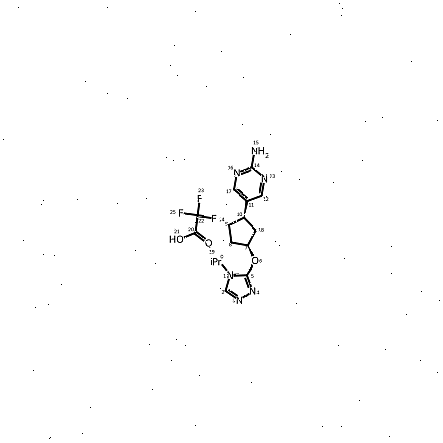 CC(C)n1cnnc1O[C@H]1CC[C@@H](c2cnc(N)nc2)C1.O=C(O)C(F)(F)F